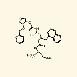 CC[C@H](C)[C@@H](CN(CC(=O)N[C@@H](CCSC)C(=O)O)Cc1cccc2ccccc12)NC(=O)O[C@@H]1COC[C@@H]1OCc1ccccc1